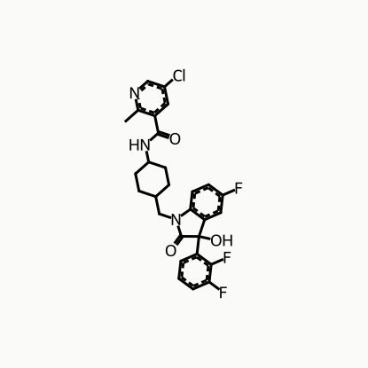 Cc1ncc(Cl)cc1C(=O)NC1CCC(CN2C(=O)C(O)(c3cccc(F)c3F)c3cc(F)ccc32)CC1